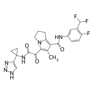 Cc1c(C(=O)Nc2ccc(F)c(C(F)F)c2)c2n(c1C(=O)C(=O)NC1(c3c[nH]nn3)CC1)CCC2